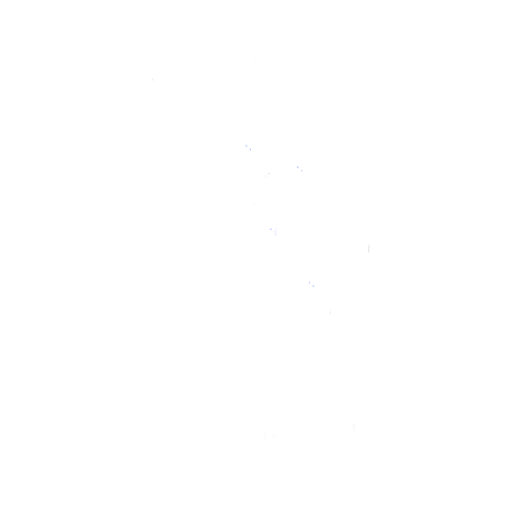 CCC(/C=N\C(=N)C(=O)N1CCN(C(=O)c2ccc(C)c(C)c2)C(C)C1)Cc1cccc(C)c1